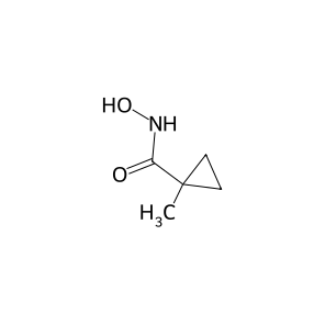 CC1(C(=O)NO)CC1